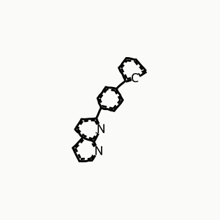 c1ccc(-c2ccc(-c3ccc4cccnc4n3)cc2)cc1